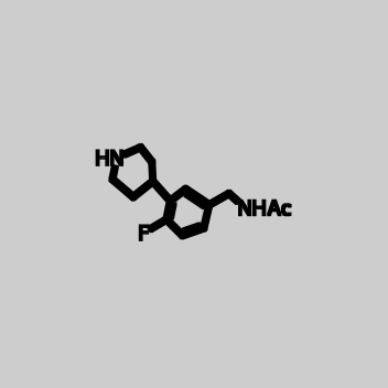 CC(=O)NCc1ccc(F)c(C2CCNCC2)c1